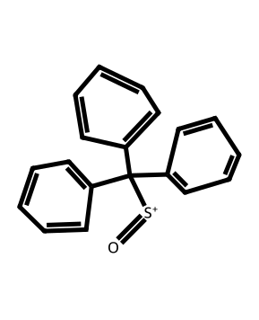 O=[S+]C(c1ccccc1)(c1ccccc1)c1ccccc1